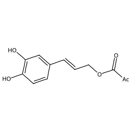 CC(=O)C(=O)OC/C=C/c1ccc(O)c(O)c1